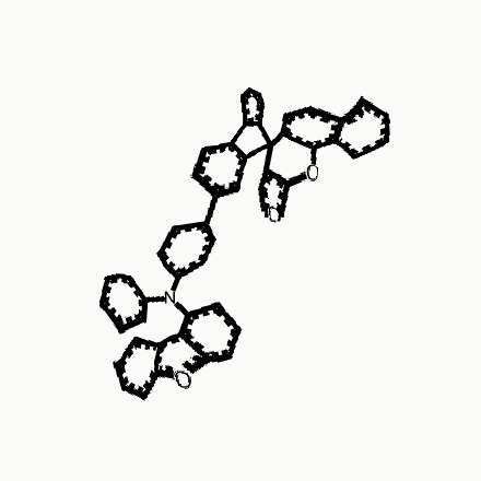 c1ccc(N(c2ccc(-c3ccc4c(c3)C3(c5ccccc5Oc5c3ccc3ccccc53)c3ccccc3-4)cc2)c2cccc3oc4ccccc4c23)cc1